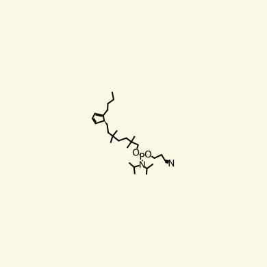 CCCCC1=CC=C[C@@H]1CCC(C)(C)CCC(C)(C)COP(OCCC#N)N(C(C)C)C(C)C